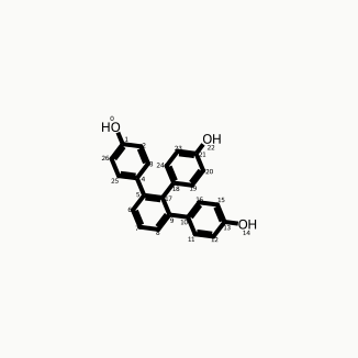 Oc1ccc(-c2[c]ccc(-c3ccc(O)cc3)c2-c2ccc(O)cc2)cc1